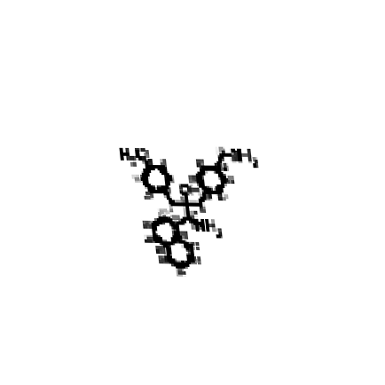 Cc1ccc(CC(O)(Cc2ccc(CN)cc2)C(N)c2cccc3ccccc23)cc1